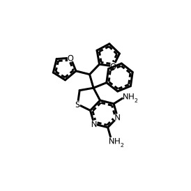 Nc1nc(N)c2c(n1)SCC2(c1ccccc1)C(c1ccco1)c1ccco1